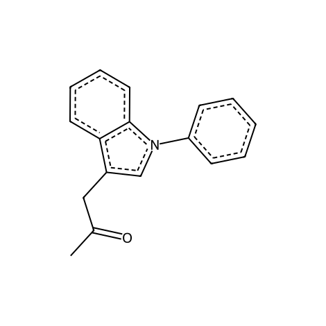 CC(=O)Cc1cn(-c2ccccc2)c2ccccc12